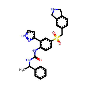 CC(NC(=O)Nc1ccc(S(=O)(=O)Cc2ccc3c(c2)CNC3)cc1-c1cc[nH]n1)c1ccccc1